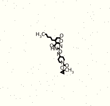 CCCCCc1cc(=O)oc2nc(ON=C3CCN(C(=O)OC4(C)CC4)CC3)[nH]c(=O)c12